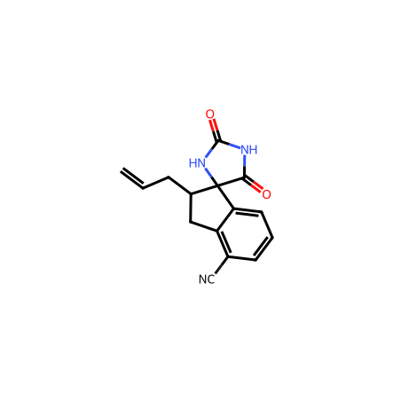 C=CCC1Cc2c(C#N)cccc2C12NC(=O)NC2=O